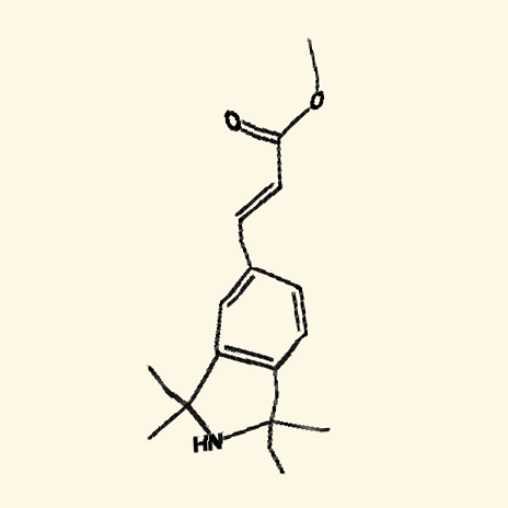 COC(=O)/C=C/c1ccc2c(c1)C(C)(C)NC2(C)C